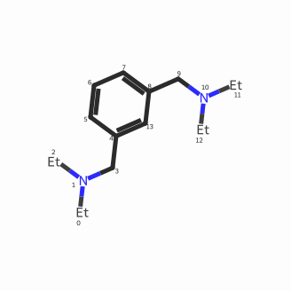 CCN(CC)Cc1cccc(CN(CC)CC)c1